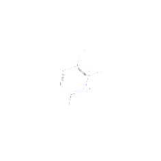 CCc1ccc(F)c(C)n1